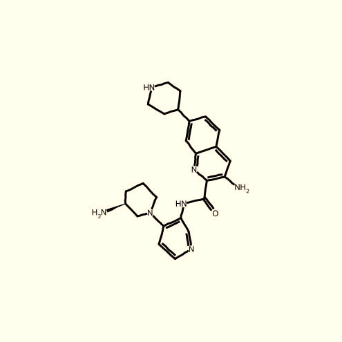 Nc1cc2ccc(C3CCNCC3)cc2nc1C(=O)Nc1cnccc1N1CCC[C@H](N)C1